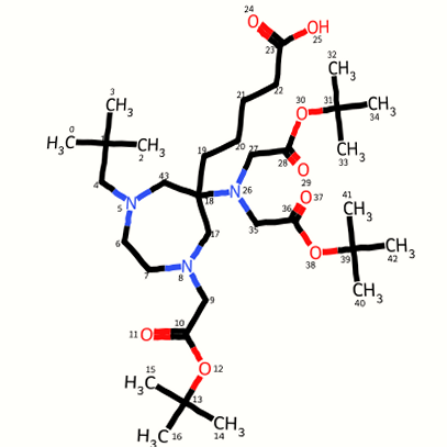 CC(C)(C)CN1CCN(CC(=O)OC(C)(C)C)CC(CCCCC(=O)O)(N(CC(=O)OC(C)(C)C)CC(=O)OC(C)(C)C)C1